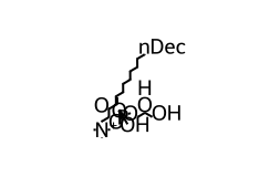 CCCCCCCCCCCCCCCCCC=CC(=O)C(C[N+](C)(C)C)OP(=O)(O)OCC(O)CO